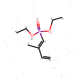 C=CC(C)=CP(=O)(OCC)OCC